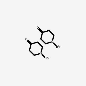 CCCN1CCC(=O)CC1.CCCN1CCC(=O)CC1